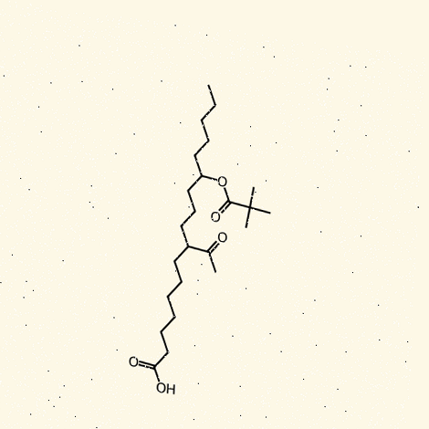 CCCCCC(CCCC(CCCCCCC(=O)O)C(C)=O)OC(=O)C(C)(C)C